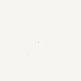 CC(C)(OC(=O)C1CC=CCC1)C1CC=CCC1